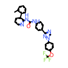 Cc1ccccc1-c1cccnc1NC(=O)Nc1ccc(-c2ncn(-c3ccc(OC(F)(F)F)cc3)n2)cc1